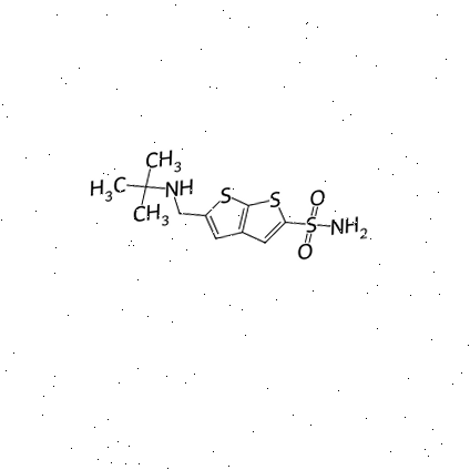 CC(C)(C)NCc1cc2cc(S(N)(=O)=O)sc2s1